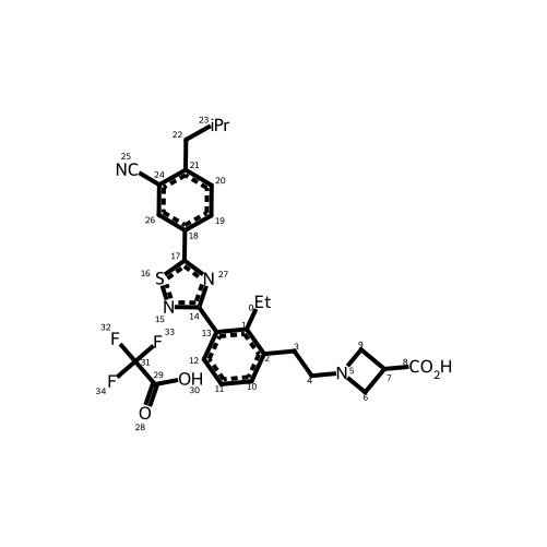 CCc1c(CCN2CC(C(=O)O)C2)cccc1-c1nsc(-c2ccc(CC(C)C)c(C#N)c2)n1.O=C(O)C(F)(F)F